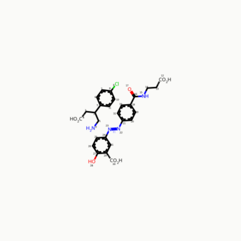 NCC(CC(=O)O)c1ccc(Cl)cc1.O=C(O)CCNC(=O)c1ccc(/N=N/c2ccc(O)c(C(=O)O)c2)cc1